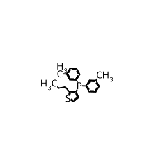 CCCc1sccc1P(c1cccc(C)c1)c1cccc(C)c1